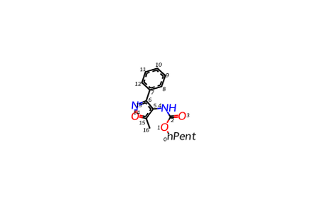 CCCCCOC(=O)Nc1c(-c2ccccc2)noc1C